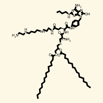 CCCCCCCCCCCCCCCC(=O)OCC(CSC[C@H](N)C(=O)N[C@@H](CCC(=O)NCCCNCCCCNCCN)C(=O)Nc1ccc(Cn2c(O)nc3c(N)nc(NCCCC)nc32)cc1)OC(=O)CCCCCCCCCCCCCCC